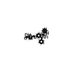 O=C(N[C@@H](c1ccccc1)c1cccc(OCc2ccc(C(=O)O)o2)c1)O[C@H]1CN2CCC1CC2